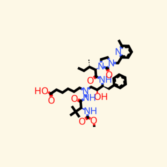 CC[C@H](C)[C@@H](C(=O)N[C@@H](Cc1ccccc1)[C@@H](O)CN(CCCCCC(=O)O)NC(=O)[C@@H](NC(=O)OC)C(C)(C)C)N1CCN(Cc2cccc(C)n2)C1=O